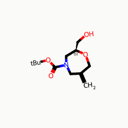 C=C1CO[C@H](CO)CN(C(=O)OC(C)(C)C)C1